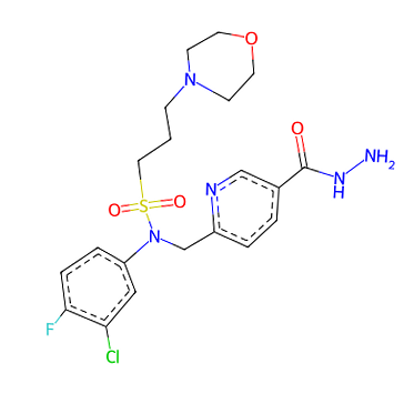 NNC(=O)c1ccc(CN(c2ccc(F)c(Cl)c2)S(=O)(=O)CCCN2CCOCC2)nc1